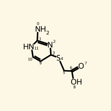 NC1=N[C](SCC(=O)O)C=CN1